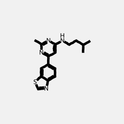 Cc1nc(NCCC(C)C)cc(-c2ccc3ncsc3c2)n1